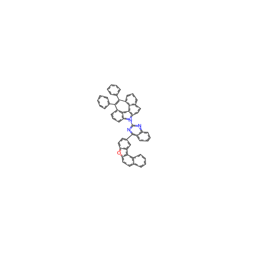 c1ccc(C2=C(c3ccccc3)c3cccc4c3c3c5c2cccc5ccc3n4-c2nc(-c3ccc4oc5ccc6ccccc6c5c4c3)c3ccccc3n2)cc1